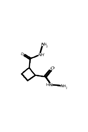 NNC(=O)C1CCC1C(=O)NN